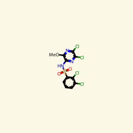 COc1nc(Cl)c(Cl)nc1NS(=O)(=O)c1cccc(Cl)c1Cl